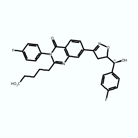 O=C(O)CCCCc1nc2cc(C3=NOC([C@@H](O)c4ccc(F)cc4)C3)ccc2c(=O)n1-c1ccc(F)cc1